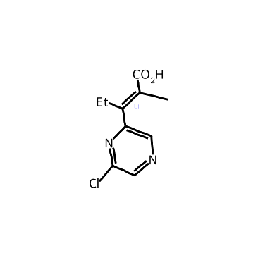 CC/C(=C(/C)C(=O)O)c1cncc(Cl)n1